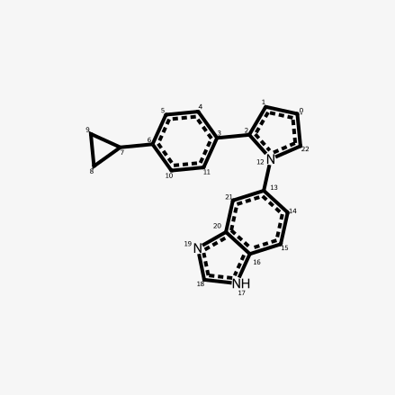 [c]1cc(-c2ccc(C3CC3)cc2)n(-c2ccc3[nH]cnc3c2)c1